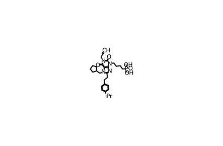 C#CCn1c(=O)c2c(nc(CCc3ccc(C(C)C)cc3)n2CC2CCCC2)n(CCCCP(=O)(O)O)c1=O